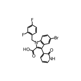 O=C(O)c1c(-c2ccc[nH]c2=O)c2cc(Br)ccc2n1Cc1ccc(F)cc1F